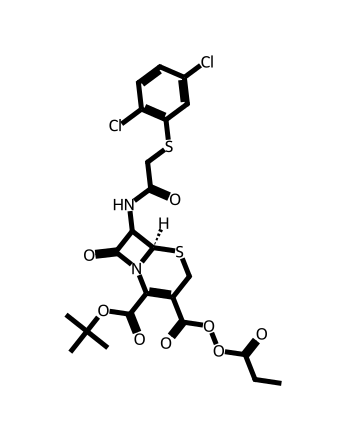 CCC(=O)OOC(=O)C1=C(C(=O)OC(C)(C)C)N2C(=O)C(NC(=O)CSc3cc(Cl)ccc3Cl)[C@H]2SC1